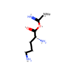 CNC(=N)OC(=O)[C@H](N)CCCN